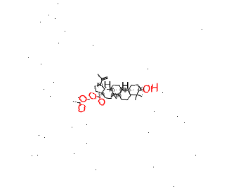 C=C(C)[C@@H]1CC[C@]2(C(=O)OCOC(C)=O)CC[C@]3(C)[C@H](CC[C@@H]4[C@@]5(C)CC[C@H](O)C(C)(C)C5CC[C@]43C)C12